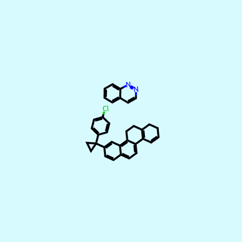 Clc1ccc(C2(c3ccc4ccc5c(c4c3)CCC3=C5C=CCC3)CC2)cc1.c1ccc2nnccc2c1